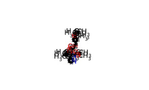 CC(C)(C)OC(=O)N[C@@H](Cc1ccccc1)[C@H](C[C@@H](CC=Cc1ccc(O[Si](C)(C)C(C)(C)C)cc1)C(=O)O)O[Si](C)(C)C(C)(C)C